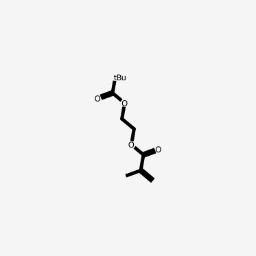 C=C(C)C(=O)OCCOC(=O)C(C)(C)C